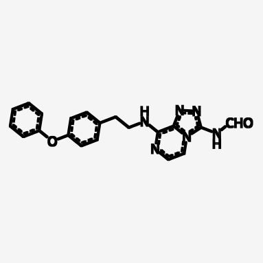 O=CNc1nnc2c(NCCc3ccc(Oc4ccccc4)cc3)nccn12